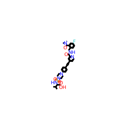 CC(C)[C@@H](NS(=O)(=O)N1CCN(c2ccc(C#Cc3ccnc(C(=O)NCc4ccc(F)cc4C(=O)N(C)C)c3)cc2)CC1)C(=O)O